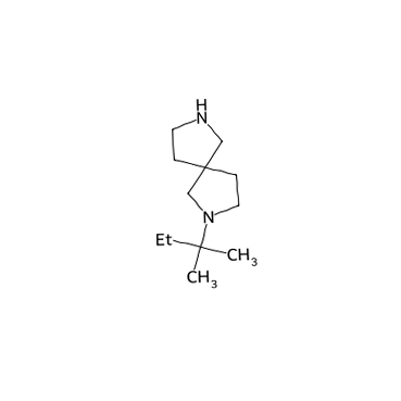 CCC(C)(C)N1CCC2(CCNC2)C1